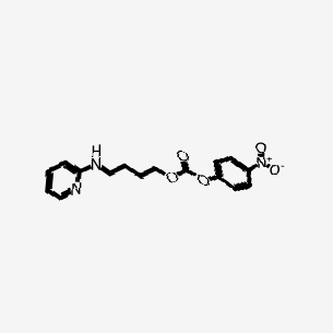 O=C(OCCCCNc1ccccn1)Oc1ccc([N+](=O)[O-])cc1